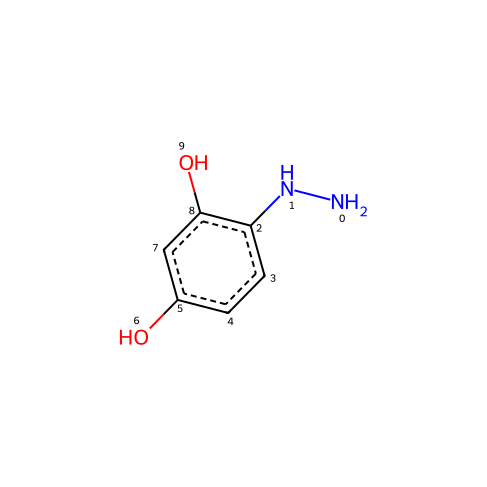 NNc1ccc(O)cc1O